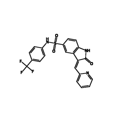 O=C1Nc2ccc(S(=O)(=O)Nc3ccc(C(F)(F)F)cc3)cc2C1=Cc1ccccn1